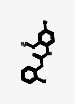 COc1cc(Br)ccc1NC(=O)Cc1ccccc1Cl